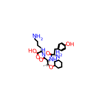 C[C@@H](OC1CCCCC1)[C@H](NC(=O)[C@@H](N)Cc1ccc(O)cc1)C(=O)N[C@@H](CCCCN)C(=O)O